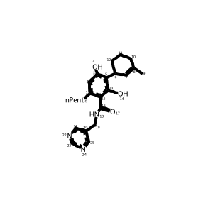 CCCCCc1cc(O)c(C2C=C(C)CCC2)c(O)c1C(=O)NCc1cncnc1